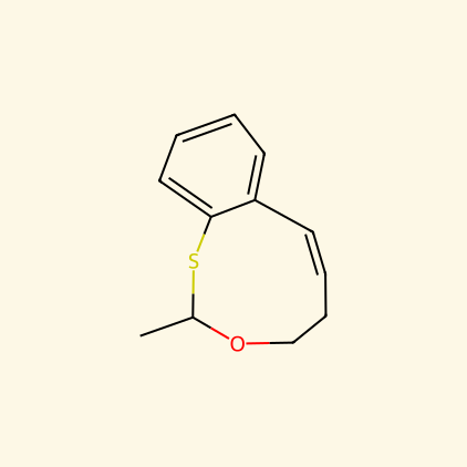 CC1OCCC=Cc2ccccc2S1